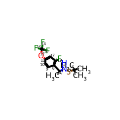 C[C@H](NSC(C)(C)C)c1ccc(OC(F)(F)F)cc1F